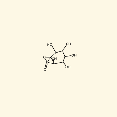 O=P12OC13C(O)C(O)C(O)C(O)C32O